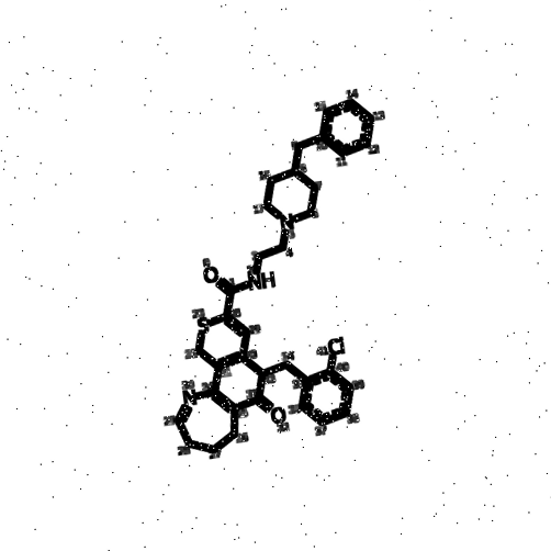 O=C(NCCN1CCC(Cc2ccccc2)CC1)C1=CC2=C(CS1)C1=C(CCCC=N1)C(=O)C2Cc1ccccc1Cl